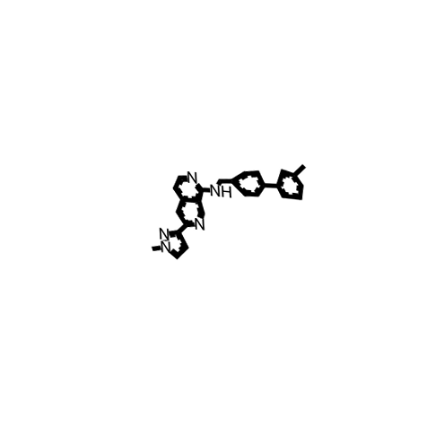 Cc1cccc(-c2ccc(CNc3nccc4cc(-c5ccn(C)n5)ncc34)cc2)c1